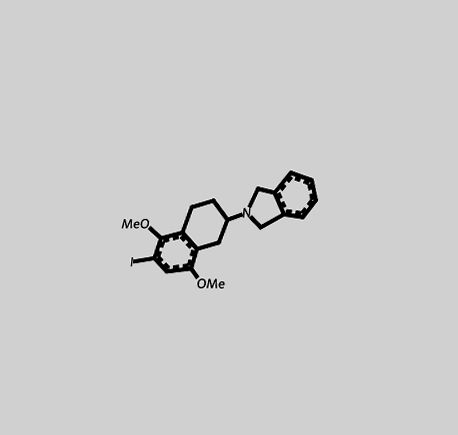 COc1cc(I)c(OC)c2c1CC(N1Cc3ccccc3C1)CC2